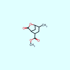 COC(=O)C1CC(C)C2CC1C(=O)O2